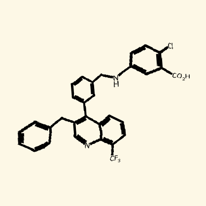 O=C(O)c1cc(NCc2cccc(-c3c(Cc4ccccc4)cnc4c(C(F)(F)F)cccc34)c2)ccc1Cl